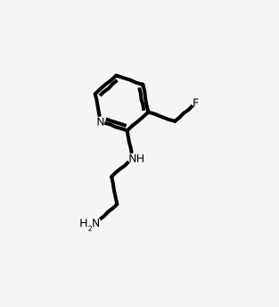 NCCNc1ncccc1CF